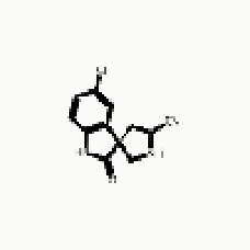 N#CC1C[C@@]2(CN1)C(=O)Nc1ccc(Cl)cc12